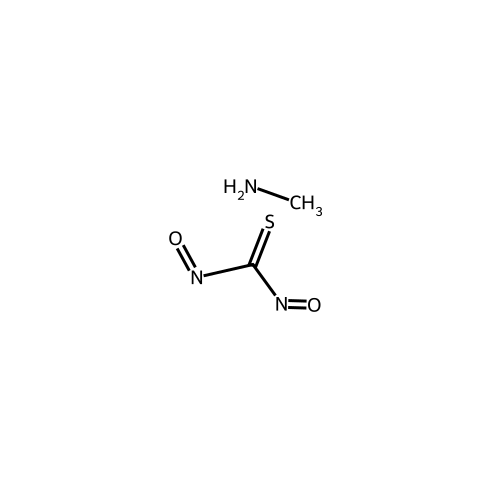 CN.O=NC(=S)N=O